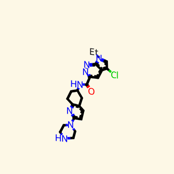 CCn1cc(Cl)c2cc(C(=O)NC3CCc4nc(N5CCNCC5)ccc4C3)nnc21